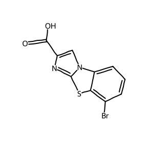 O=C(O)c1cn2c(n1)sc1c(Br)cccc12